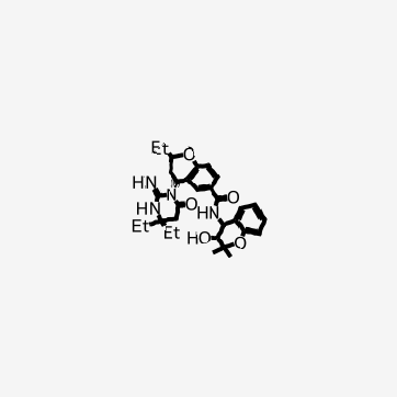 CCC1C[C@@H](N2C(=N)NC(CC)(CC)CC2=O)c2cc(C(=O)NC3c4ccccc4OC(C)(C)C3O)ccc2O1